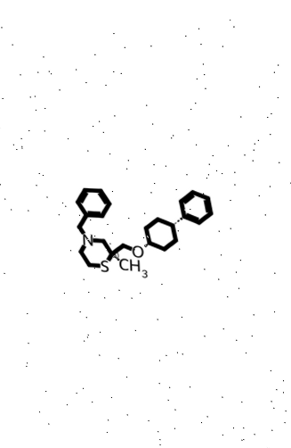 C[C@@]1(CO[C@H]2CC[C@@H](c3ccccc3)CC2)CN(Cc2ccccc2)CCS1